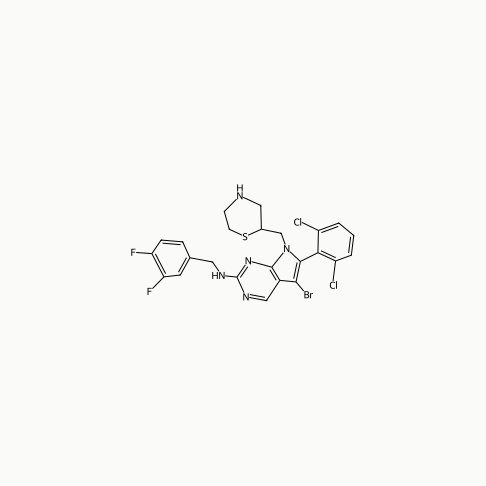 Fc1ccc(CNc2ncc3c(Br)c(-c4c(Cl)cccc4Cl)n(CC4CNCCS4)c3n2)cc1F